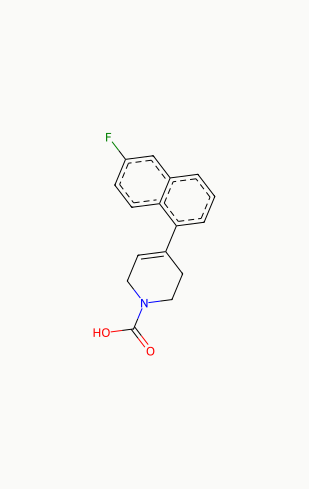 O=C(O)N1CC=C(c2cccc3cc(F)ccc23)CC1